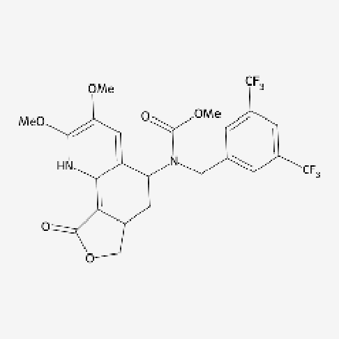 COC(=O)N(Cc1cc(C(F)(F)F)cc(C(F)(F)F)c1)C1CC2COC(=O)C2=C2NC(OC)=C(OC)C=C21